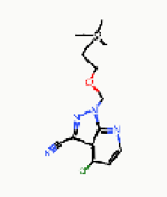 C[Si](C)(C)CCOCn1nc(C#N)c2c(Cl)ccnc21